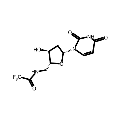 O=C(NC[C@H]1O[C@@H](n2ccc(=O)[nH]c2=O)C[C@@H]1O)C(F)(F)F